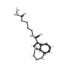 O=C(CCCCNC(=O)c1cn2c3c(cccc13)CCC2)NO